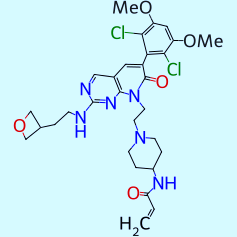 C=CC(=O)NC1CCN(CCn2c(=O)c(-c3c(Cl)c(OC)cc(OC)c3Cl)cc3cnc(NCCC4COC4)nc32)CC1